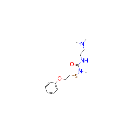 CN(C)CCNC(=O)N(C)SCCOc1ccccc1